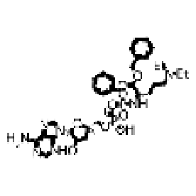 CCN(CC)CCC[C@H](NP(=O)(Oc1ccccc1)OP(=O)(O)OC[C@@H]1CC(O)[C@H](n2cnc3c(N)ncnc32)O1)C(=O)OCc1ccccc1